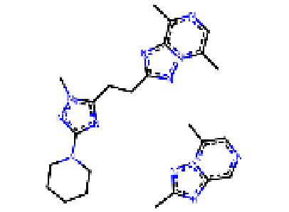 Cc1nc2cncc(C)n2n1.Cc1ncc(C)n2nc(CCc3nc(N4CCCCC4)nn3C)nc12